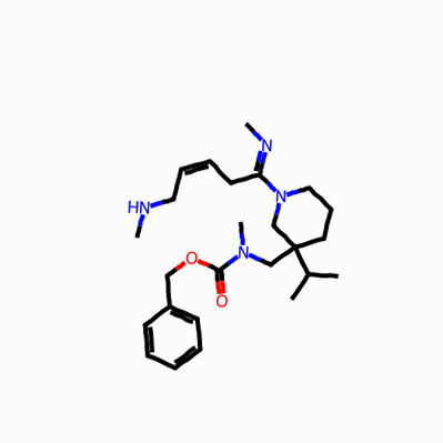 C/N=C(\C/C=C\CNC)N1CCCC(CN(C)C(=O)OCc2ccccc2)(C(C)C)C1